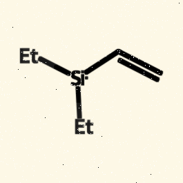 C=C[Si](CC)CC